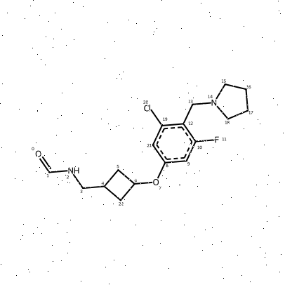 O=CNCC1CC(Oc2cc(F)c(CN3CCCC3)c(Cl)c2)C1